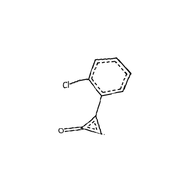 O=c1[c]c1-c1ccccc1Cl